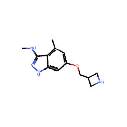 CNc1n[nH]c2cc(OCC3CNC3)cc(C)c12